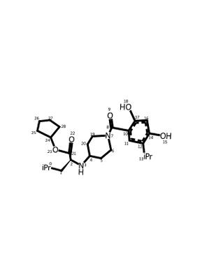 CC(C)C[C@H](NC1CCN(C(=O)c2cc(C(C)C)c(O)cc2O)CC1)C(=O)OC1CCCC1